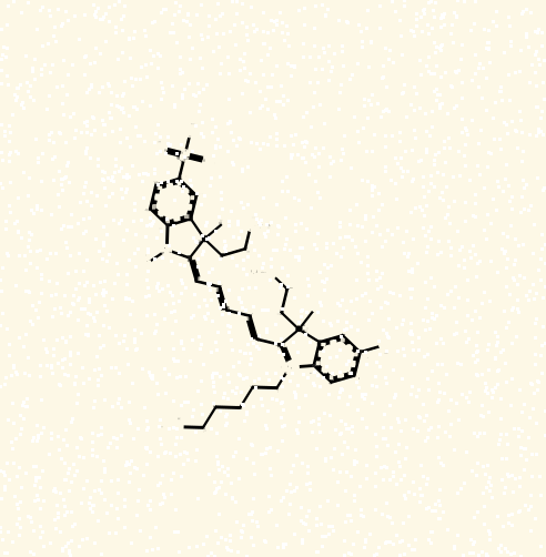 CCN1/C(=C/C=C/C=C/C2=[N+](CCCCCC(=O)O)c3ccc(S(=O)(=O)O)cc3C2(C)CCOC)C(C)(CCOC)c2cc(S(=O)(=O)[O-])ccc21